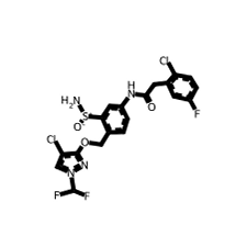 N[S+]([O-])c1cc(NC(=O)Cc2cc(F)ccc2Cl)ccc1COc1nn(C(F)F)cc1Cl